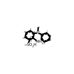 CN(c1ccccc1)c1cccc(S(=O)(=O)O)c1N